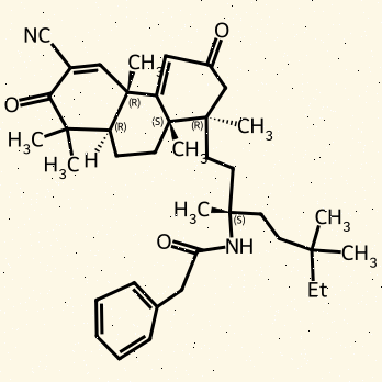 CCC(C)(C)CC[C@@](C)(CC[C@]1(C)CC(=O)C=C2[C@@]3(C)C=C(C#N)C(=O)C(C)(C)[C@@H]3CC[C@]21C)NC(=O)Cc1ccccc1